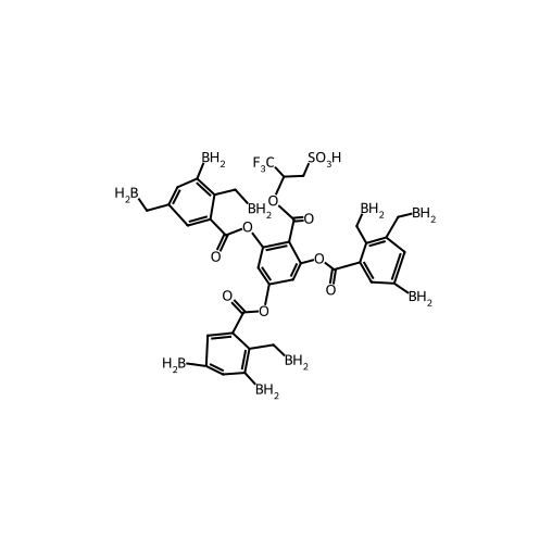 BCc1cc(B)c(CB)c(C(=O)Oc2cc(OC(=O)c3cc(B)cc(B)c3CB)cc(OC(=O)c3cc(B)cc(CB)c3CB)c2C(=O)OC(CS(=O)(=O)O)C(F)(F)F)c1